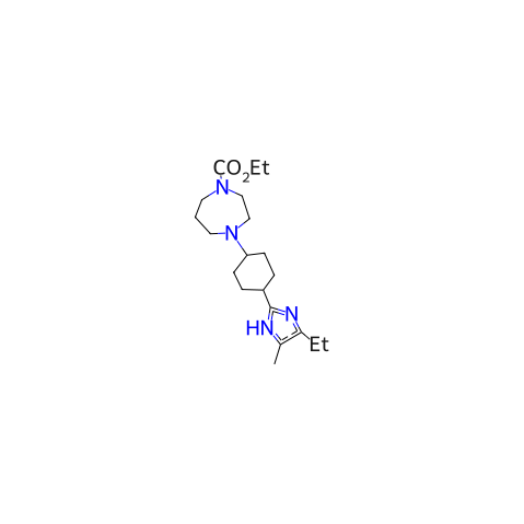 CCOC(=O)N1CCCN(C2CCC(c3nc(CC)c(C)[nH]3)CC2)CC1